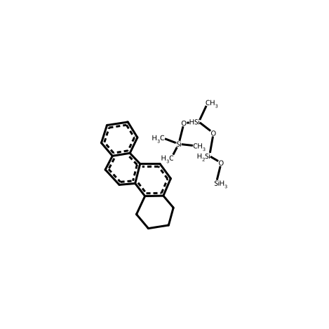 C[SiH](O[SiH2]O[SiH3])O[Si](C)(C)C.c1ccc2c(c1)ccc1c3c(ccc12)CCCC3